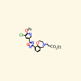 CCOC(=O)CCN1CCOc2c(cccc2-c2noc(-c3cnc(OC(C)C)c(Cl)c3)n2)C1